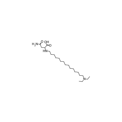 CCN(CC)CCCCCCCCCCCCCCCNC(CC(N)=O)C(=O)O